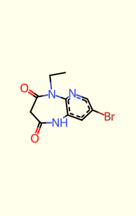 CCN1C(=O)CC(=O)Nc2cc(Br)cnc21